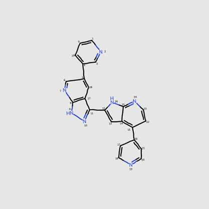 c1cncc(-c2cnc3[nH]nc(-c4cc5c(-c6ccncc6)ccnc5[nH]4)c3c2)c1